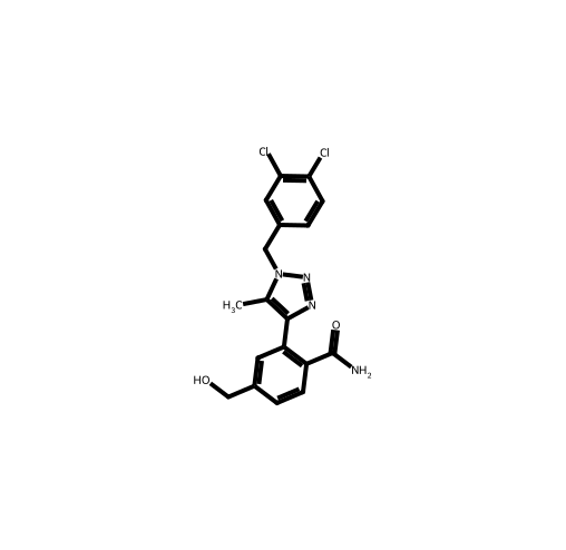 Cc1c(-c2cc(CO)ccc2C(N)=O)nnn1Cc1ccc(Cl)c(Cl)c1